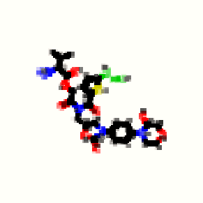 CC(C)[C@H](N)C(=O)OCC(=O)N(C[C@H]1CN(c2ccc(N3CCOCC3=O)cc2)C(=O)O1)C(=O)c1ccc(Cl)s1.Cl